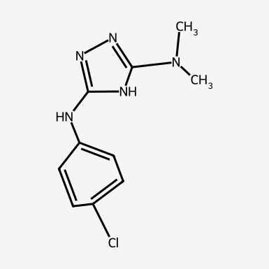 CN(C)c1nnc(Nc2ccc(Cl)cc2)[nH]1